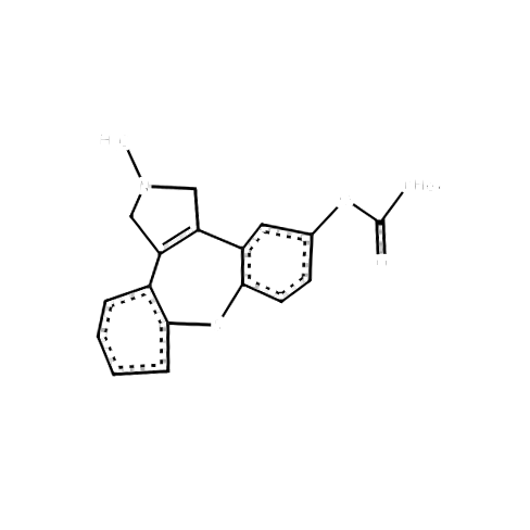 CCCCCCC(=O)Oc1ccc2c(c1)C1=C(CN(C)C1)c1ccccc1S2